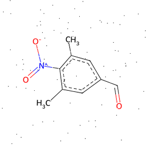 Cc1cc(C=O)cc(C)c1[N+](=O)[O-]